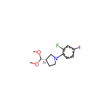 COC(OC)[C@H]1CCN(c2ccc(I)cc2F)C1